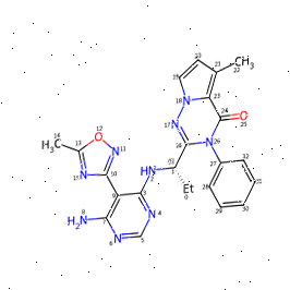 CC[C@H](Nc1ncnc(N)c1-c1noc(C)n1)c1nn2ccc(C)c2c(=O)n1-c1ccccc1